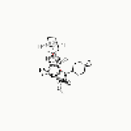 COC(=O)c1cc(F)c2nc(N3[C@@H]4CC[C@H]3C[C@@H](OC(=O)c3c(C5CCC6(CC5)CC6)noc3C3CC3)C4)sc2c1